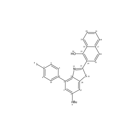 CCCCc1cc(-c2ccc(I)cc2)c2nc(-c3ccc4ccccc4c3O)sc2c1